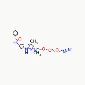 Cc1cc(N(C)CCOCCOCCOCCN=[N+]=[N-])nc(Nc2ccc(NC(=O)Cc3ccccc3)cc2)n1